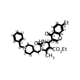 CCOC(=O)C1=C(C)N(CC2CCN(Cc3ccccc3)CC2)C(=O)NC1c1coc2cc(CC)ccc2c1=O